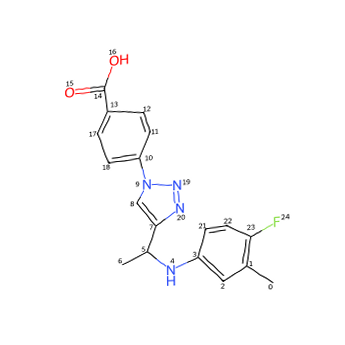 Cc1cc(NC(C)c2cn(-c3ccc(C(=O)O)cc3)nn2)ccc1F